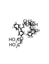 CN(C)CCC(c1ccc(Cl)cc1)c1ccccn1.Cl.O=C(O)/C=C\C(=O)O.c1ccc2c(CC3=NCCN3)cccc2c1